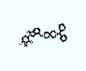 O=C1CCC(N2Cc3c(CN4CCC5(CC4)CCN(C(c4ccccc4)c4ccccc4)CC5)cccc3C2=O)C(=O)N1